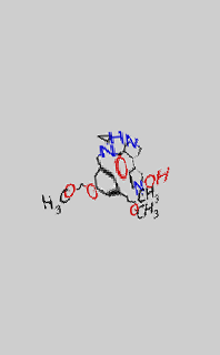 COCCCC1=C[C@H](OCCOC)CC(CN(C(=O)[C@H]2CNCC[C@@H]2[C@H]2C=CN(C)[C@@H](O)C2)C2CC2)=C1